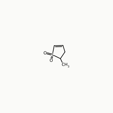 CC1CC=CS1(=O)=O